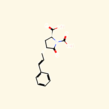 O=C(O)[C@@H]1C[C@@H](C/C=C/c2ccccc2)C(=O)N1C(=O)O